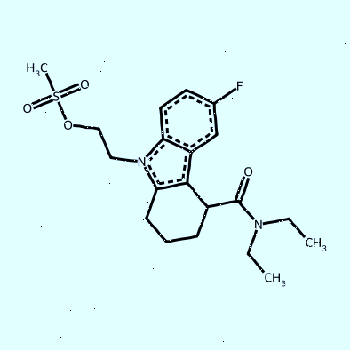 CCN(CC)C(=O)C1CCCc2c1c1cc(F)ccc1n2CCOS(C)(=O)=O